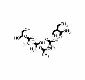 CC(=O)O.CC(=O)O.CC(=O)O.CC(=O)O.CCC(CC)C(N)=O.OCCO